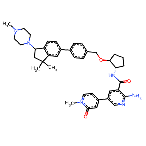 CN1CCN(C2CC(C)(C)c3cc(-c4ccc(CO[C@H]5CCC[C@@H]5NC(=O)c5cc(-c6ccn(C)c(=O)c6)cnc5N)cc4)ccc32)CC1